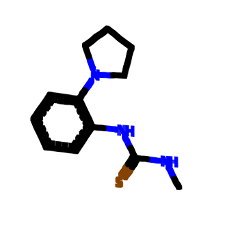 CNC(=S)Nc1ccccc1N1CCCC1